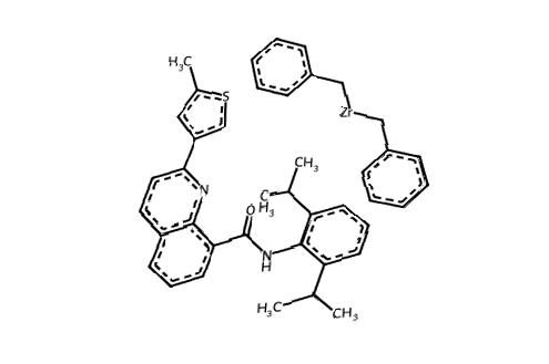 Cc1cc(-c2ccc3cccc(C(=O)Nc4c(C(C)C)cccc4C(C)C)c3n2)cs1.c1ccc([CH2][Zr][CH2]c2ccccc2)cc1